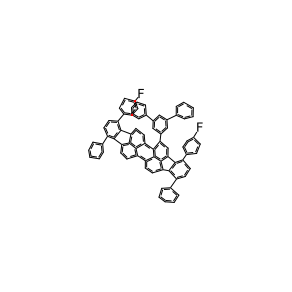 Fc1ccc(-c2ccc(-c3ccccc3)c3c2-c2ccc4c5c(-c6cc(-c7ccccc7)cc(-c7ccccc7)c6)cc6c7c(ccc(c8ccc-3c2c84)c75)-c2c(-c3ccccc3)ccc(-c3ccc(F)cc3)c2-6)cc1